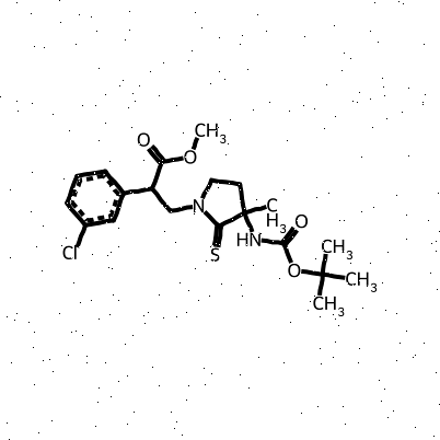 COC(=O)C(CN1CCC(C)(NC(=O)OC(C)(C)C)C1=S)c1cccc(Cl)c1